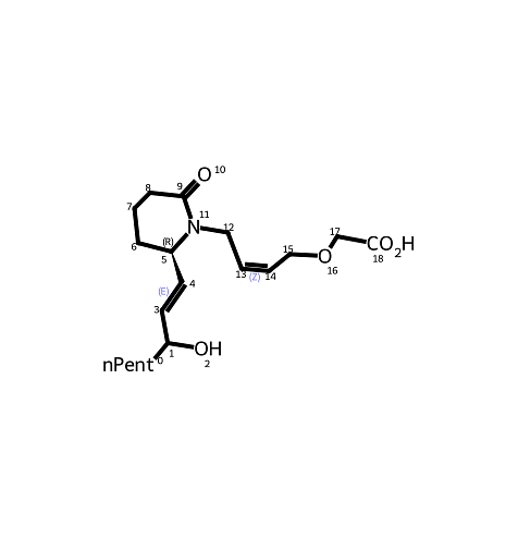 CCCCCC(O)/C=C/[C@H]1CCCC(=O)N1C/C=C\COCC(=O)O